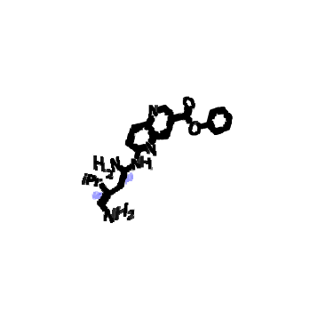 CC(C)C(=C/N)/C=C(\N)Nc1ccc2ncc(C(=O)Oc3ccccc3)cc2n1